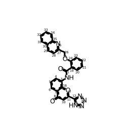 O=C(Nc1cccc2c(=O)cc(-c3nnn[nH]3)oc12)c1ccccc1OCc1ccc2ccccc2n1